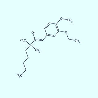 CCCCCC(C)(C)[N+]([O-])=Cc1ccc(OC)c(OCC)c1